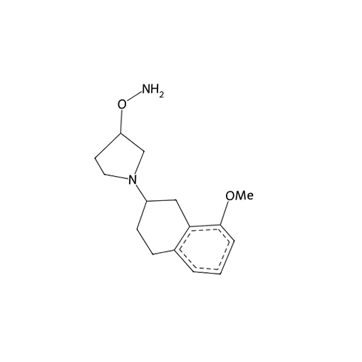 COc1cccc2c1CC(N1CCC(ON)C1)CC2